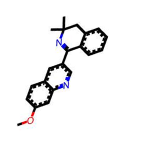 COc1ccc2cc(C3=NC(C)(C)Cc4ccccc43)cnc2c1